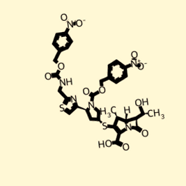 C[C@@H](O)[C@H]1C(=O)N2C(C(=O)O)=C(S[C@H]3C[C@@H](c4csc(CNC(=O)OCc5ccc([N+](=O)[O-])cc5)n4)N(C(=O)OCc4ccc([N+](=O)[O-])cc4)C3)[C@H](C)[C@H]12